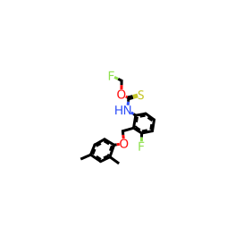 Cc1ccc(OCc2c(F)cccc2NC(=S)OCF)c(C)c1